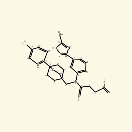 C=C(F)CCC(=O)N(CC12CCC(c3ccc(C(F)(F)F)cn3)(CC1)CC2)c1cccc(-c2noc(C(C)C)n2)c1